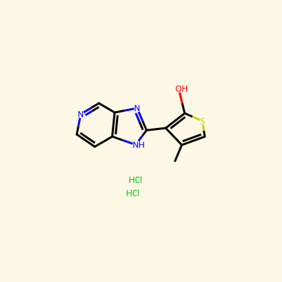 Cc1csc(O)c1-c1nc2cnccc2[nH]1.Cl.Cl